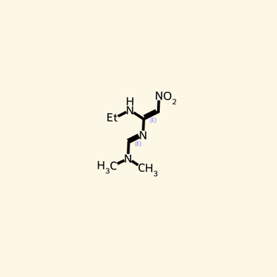 CCNC(=C\[N+](=O)[O-])/N=C/N(C)C